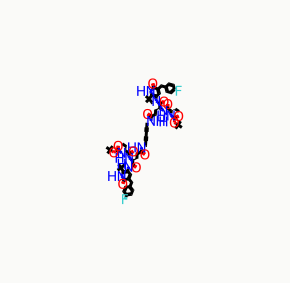 CC[C@H](NC(=O)OC(C)(C)C)C(=O)N[C@@H](CCC(=O)NCC#CC#CCNC(=O)CC[C@H](NC(=O)[C@H](CC)NC(=O)OC(C)(C)C)C(=O)N1CC(C)(C)c2[nH]c(=O)c(Cc3ccc(F)cc3)cc21)C(=O)N1CC(C)(C)c2[nH]c(=O)c(Cc3ccc(F)cc3)cc21